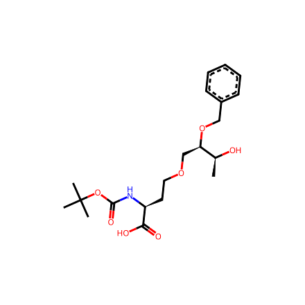 C[C@H](O)[C@@H](COCC[C@H](NC(=O)OC(C)(C)C)C(=O)O)OCc1ccccc1